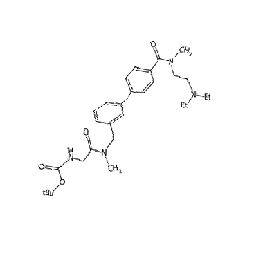 CCN(CC)CCN(C)C(=O)c1ccc(-c2cccc(CN(C)C(=O)CNC(=O)OC(C)(C)C)c2)cc1